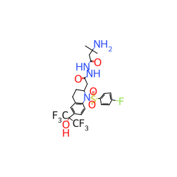 CC(C)(N)CC(=O)NNC(=O)CC1CCc2cc(C(O)(C(F)(F)F)C(F)(F)F)ccc2N1S(=O)(=O)c1ccc(F)cc1